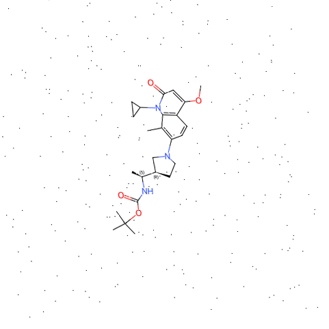 COc1cc(=O)n(C2CC2)c2c(C)c(N3CC[C@@H]([C@H](C)NC(=O)OC(C)(C)C)C3)ccc12